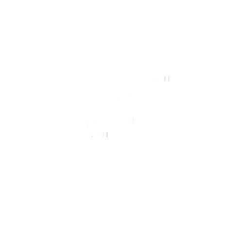 CPc1ccc(-c2ccccc2)c2ccccc12.CPc1ccc(-c2ccccc2)c2ccccc12.Cc1ccc(S(=O)(=O)O)cc1.Cc1ccc(S(=O)(=O)O)cc1